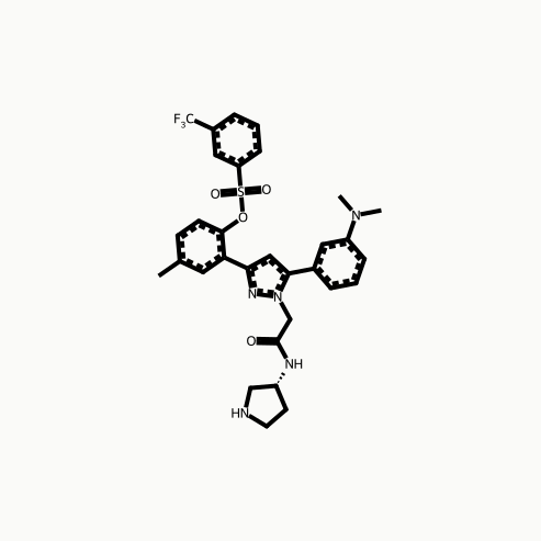 Cc1ccc(OS(=O)(=O)c2cccc(C(F)(F)F)c2)c(-c2cc(-c3cccc(N(C)C)c3)n(CC(=O)N[C@@H]3CCNC3)n2)c1